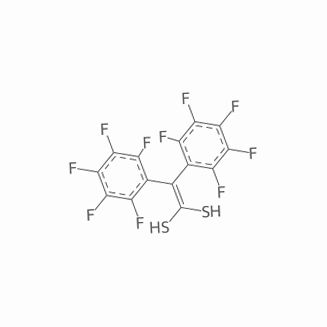 Fc1c(F)c(F)c(C(=C(S)S)c2c(F)c(F)c(F)c(F)c2F)c(F)c1F